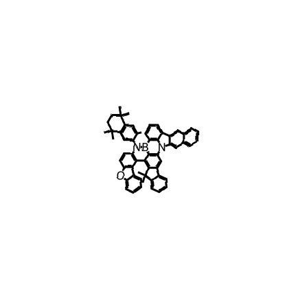 Cc1cc2c(cc1N1B3c4c(cc5c(c4-c4c1ccc1oc6ccccc6c41)C(C)(C)c1ccccc1-5)-n1c4cc5ccccc5cc4c4cccc3c41)C(C)(C)CCC2(C)C